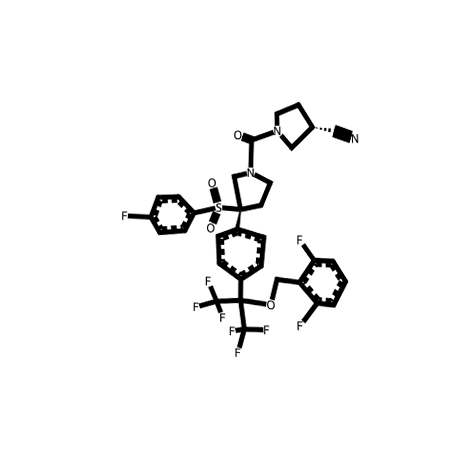 N#C[C@H]1CCN(C(=O)N2CC[C@](c3ccc(C(OCc4c(F)cccc4F)(C(F)(F)F)C(F)(F)F)cc3)(S(=O)(=O)c3ccc(F)cc3)C2)C1